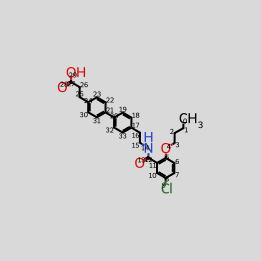 CCCCOc1ccc(Cl)cc1C(=O)NCCc1ccc(-c2ccc(CCC(=O)O)cc2)cc1